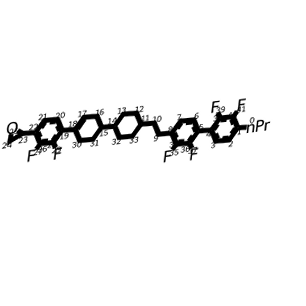 CCCc1ccc(-c2ccc(CCC3CCC(C4CC=C(c5ccc(C6CO6)c(F)c5F)CC4)CC3)c(F)c2F)c(F)c1F